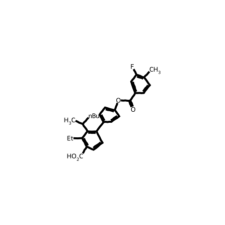 CCCCC(C)c1c(-c2ccc(OC(=O)c3ccc(C)c(F)c3)cc2)ccc(C(=O)O)c1CC